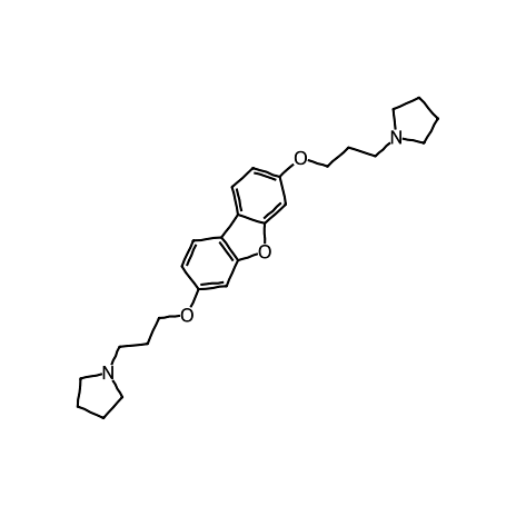 c1cc2c(cc1OCCCN1CCCC1)oc1cc(OCCCN3CCCC3)ccc12